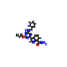 COc1nc(NCc2ccccc2)nc(-c2cnn3c(C(N)=O)cccc23)n1